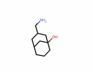 NCC1CC2CCCC(O)(C1)C2